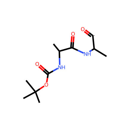 CC([C]=O)NC(=O)C(C)NC(=O)OC(C)(C)C